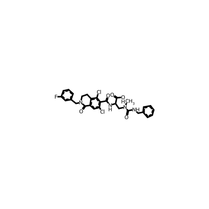 CN(CC(NC(=O)c1c(Cl)cc2c(c1Cl)CCN(Cc1cccc(F)c1)C2=O)C(=O)O)C(=O)NCc1ccccc1